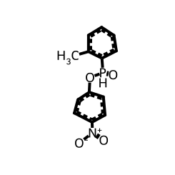 Cc1ccccc1[PH](=O)Oc1ccc([N+](=O)[O-])cc1